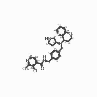 O=C(NCc1ccc(CN(C2CCNC2)C2CCOc3cccnc32)cc1)c1ccnc(Cl)c1Cl